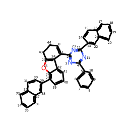 C1=C(c2nc(-c3ccccc3)nc(-c3ccc4ccccc4c3)n2)c2c(oc3c(-c4ccc5ccccc5c4)cccc23)CC1